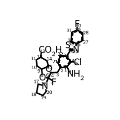 Nc1c(CC(=O)C(F)(OC2CCC(C(=O)O)CC2)N2CCCC2)ccc(-c2nc3ccc(F)cc3s2)c1Cl